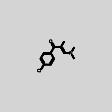 CC(=CN(C)C)C(=O)c1ccc(Cl)cc1